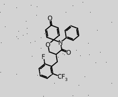 O=C1C=CC2(C=C1)OCC(Cc1c(F)cccc1C(F)(F)F)C(=O)N2c1ccccc1